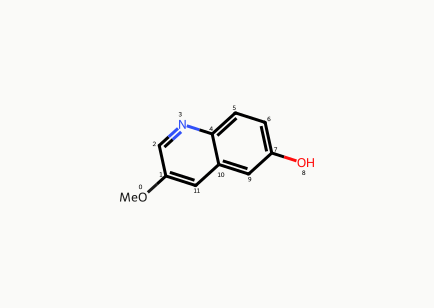 COc1cnc2ccc(O)cc2c1